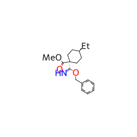 CC[C@H]1CC[C@@](C(=N)OCc2ccccc2)(C(=O)OC)CC1